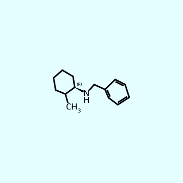 CC1CCCC[C@H]1NCc1ccccc1